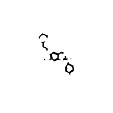 COc1cc2nc(N(Cl)c3ccc(F)cc3)ncc2cc1OCCC1OCCCO1